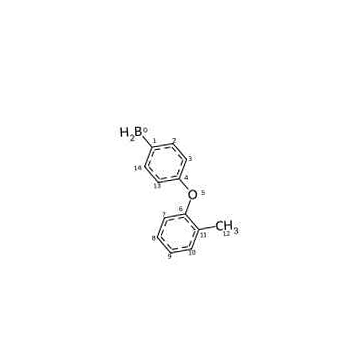 Bc1ccc(Oc2ccccc2C)cc1